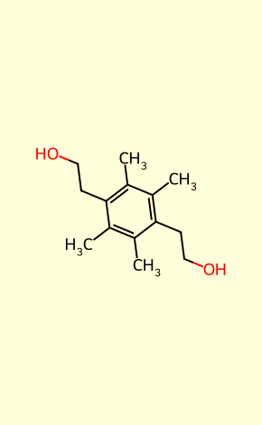 Cc1c(C)c(CCO)c(C)c(C)c1CCO